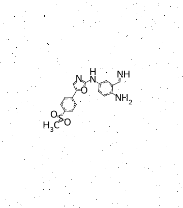 CS(=O)(=O)c1ccc(-c2cnc(Nc3ccc(N)c(C=N)c3)o2)cc1